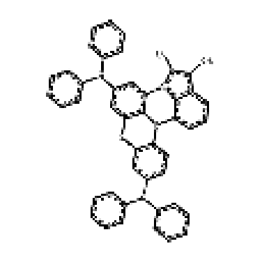 Cc1c(C)n2c3c(cccc13)B1c3ccc(N(c4ccccc4)c4ccccc4)cc3Sc3cc(N(c4ccccc4)c4ccccc4)cc-2c31